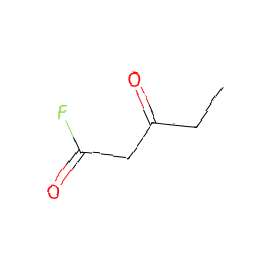 CCC(=O)CC(=O)F